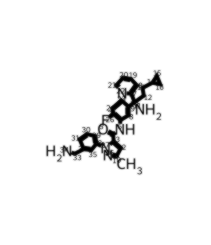 Cc1cc(C(=O)Nc2cc(C(N)(CCC3CC3)c3ccccn3)ccc2F)n(-c2cccc(CN)c2)n1